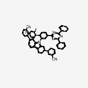 N#Cc1cccc(-c2ccc3c4ccc(-c5cccc(C#N)c5)cc4n(-c4cc(-c5nc(-c6ccccc6)nc(-c6ccccc6)n5)ccc4-c4ccc(F)cc4F)c3c2)c1